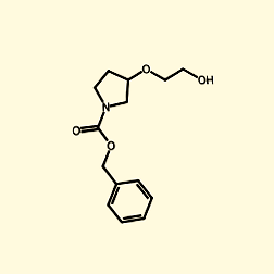 O=C(OCc1ccccc1)N1CCC(OCCO)C1